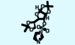 CC1(C)O[C@H]2O[C@H]([C@H]3COC(C)(C)O3)[C@H](OS(=O)(=O)n3ccnc3)[C@H]2O1